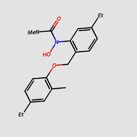 CCc1ccc(OCc2ccc(CC)cc2N(O)C(=O)NC)c(C)c1